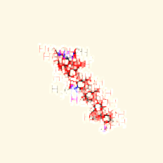 CC(=O)NC1C(O[C@@H]2OC(CO)[C@H](O)C(O[C@]3(C(=O)O)C[C@@H](O)[C@@H](NC(C)=O)C([C@H](O)[C@H](O)CO)O3)[C@@H]2O)[C@@H](O)C(CO)O[C@H]1OC1C(O)[C@@H](O[C@H]2C(CO)O[C@@H](O[C@@H]3C(CO)O[C@@H](OI)[C@@H](O)C3O)[C@@H](O)C2O)OC(CO)[C@@H]1O